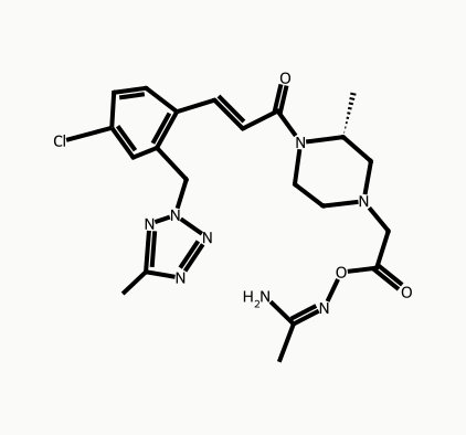 CC(N)=NOC(=O)CN1CCN(C(=O)C=Cc2ccc(Cl)cc2Cn2nnc(C)n2)[C@H](C)C1